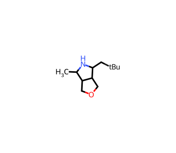 CC1NC(CC(C)(C)C)C2COCC12